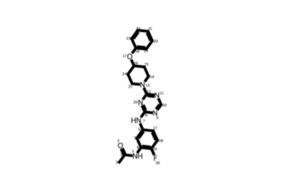 CC(=O)Nc1cc(Nc2ncnc(N3CCC(Oc4ccccc4)CC3)n2)ccc1F